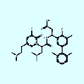 Cc1cc(-c2c(C)cccc2C)cc([C@H](CC(=O)O)NC(=O)C(CC(C)C)n2cc(CCN(C)C)cc(F)c2=O)c1F